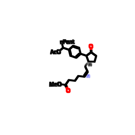 CCCCCC(OC(C)=O)c1ccc(C2C(=O)CC[C@@H]2C/C=C\CCCC(=O)OC)cc1